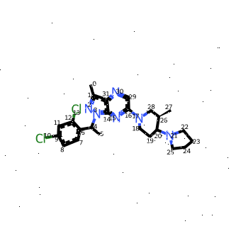 Cc1nn(C(C)c2ccc(Cl)cc2Cl)c2nc(N3CCC(N4CCCC4)[C@H](C)C3)cnc12